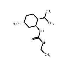 CCNC(=S)N[C@H]1C[C@H](C)CC[C@H]1C(C)C